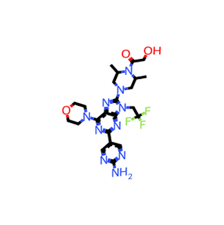 CC1CN(c2nc3c(N4CCOCC4)nc(-c4cnc(N)nc4)nc3n2CC(F)(F)F)CC(C)N1C(=O)CO